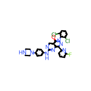 O=c1c2cnc(Nc3ccc(N4CCNCC4)cc3)nc2c(-c2cccc(F)n2)nn1-c1c(Cl)cccc1Cl